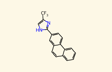 FC(F)(F)c1c[nH]c(-c2ccc3c(ccc4ccccc43)c2)n1